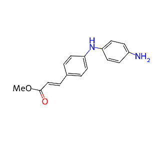 COC(=O)C=Cc1ccc(Nc2ccc(N)cc2)cc1